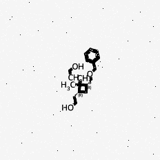 CC1(C)[C@H](COCc2ccccc2)C[C@@H]1CCO.CCO